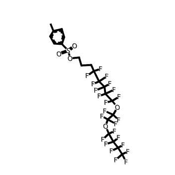 Cc1ccc(S(=O)(=O)OCCCC(F)(F)C(F)(F)C(F)(F)C(F)(F)C(F)(F)OC(F)(F)C(F)(F)OC(F)(F)C(F)(F)C(F)(F)C(F)(F)F)cc1